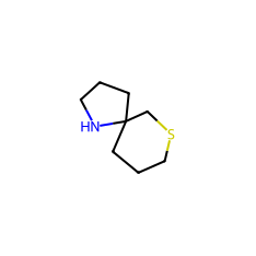 C1CNC2(C1)CCCSC2